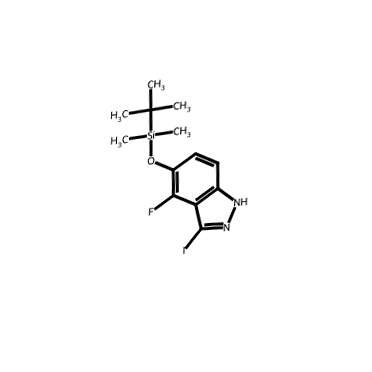 CC(C)(C)[Si](C)(C)Oc1ccc2[nH]nc(I)c2c1F